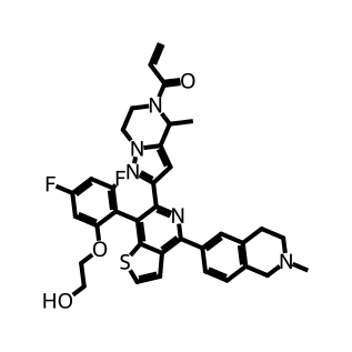 C=CC(=O)N1CCn2nc(-c3nc(-c4ccc5c(c4)CCN(C)C5)c4ccsc4c3-c3c(F)cc(F)cc3OCCO)cc2C1C